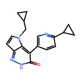 O=c1[nH]nc2ccn(CC3CC3)c2c1-c1ccc(C2CC2)nc1